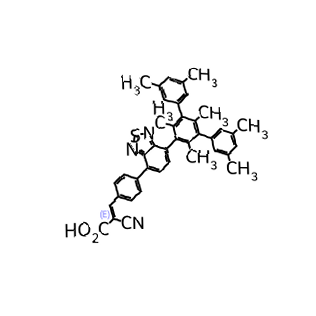 Cc1cc(C)cc(-c2c(C)c(-c3cc(C)cc(C)c3)c(C)c(-c3ccc(-c4ccc(/C=C(\C#N)C(=O)O)cc4)c4nsnc34)c2C)c1